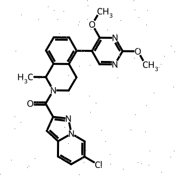 COc1ncc(-c2cccc3c2CCN(C(=O)c2cc4ccc(Cl)cn4n2)C3C)c(OC)n1